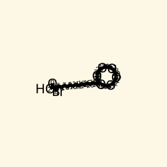 O=C(O)C(Br)CCCCCCCCCCCCCCC1COCCOCCOCCOCCOCCO1